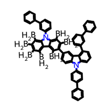 Bc1c(B)c(B)c2c(c1B)c1c(B)c(-c3ccc4c(c3)c3c(-c5cccc(-c6ccccc6)c5)cccc3n4-c3ccc(-c4ccccc4)cc3)c(B)c(B)c1n2-c1cccc(-c2ccccc2)c1